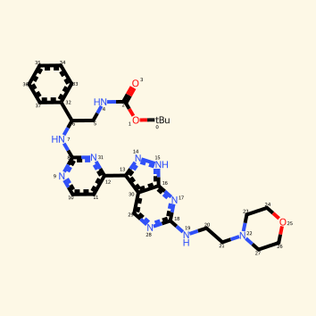 CC(C)(C)OC(=O)NCC(Nc1nccc(-c2n[nH]c3nc(NCCN4CCOCC4)ncc23)n1)c1ccccc1